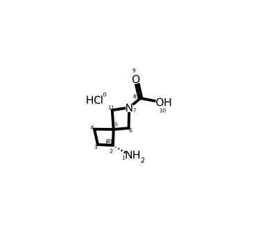 Cl.N[C@@H]1CCC12CN(C(=O)O)C2